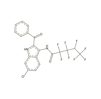 O=C(c1ccccc1)c1[nH]c2cc(Cl)ccc2c1NC(=O)C(F)(F)C(F)(F)C(F)C(F)(F)F